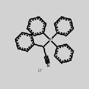 N#CC(c1ccccc1)[P+](c1ccccc1)(c1ccccc1)c1ccccc1.[Cl-]